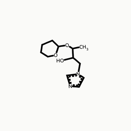 CC(OC1CCCCO1)C(O)Cn1ccnc1